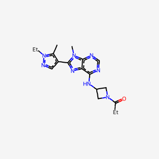 CCC(=O)N1CC(Nc2ncnc3c2nc(-c2cnn(CC)c2C)n3C)C1